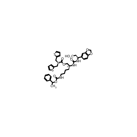 CC(OC(=O)NCCCC[C@@H](COC(=O)N(Cc1cccs1)Cc1cccs1)NC(=O)N[C@@H](CC(=O)O)c1ccc2c(c1)OCO2)c1ccccc1